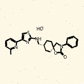 Cc1cccc(-c2csc(NC[C@H]3CC[C@]4(CC3)CN(c3ccccc3)C(=O)O4)n2)n1.Cl